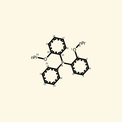 CCCOc1ccccc1P(c1ccccc1)c1ccccc1OCCC